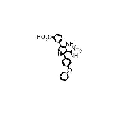 N=C(N)c1c(-c2ccc(OC3C=CC=CC3)cc2)ncc(-c2cccc(C(=O)O)c2)c1N